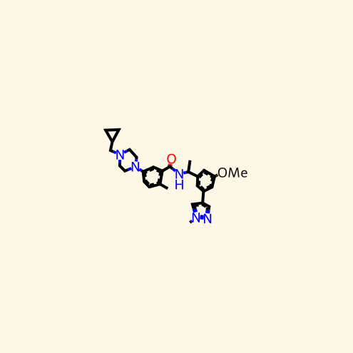 COc1cc(-c2cnn(C)c2)cc(C(C)NC(=O)c2cc(N3CCN(CC4CC4)CC3)ccc2C)c1